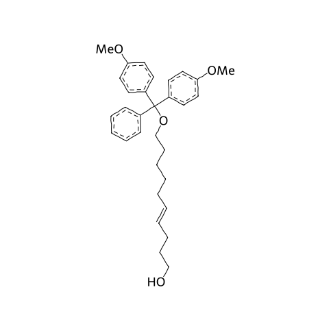 COc1ccc(C(OCCCCC/C=C/CCCO)(c2ccccc2)c2ccc(OC)cc2)cc1